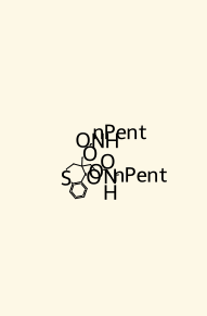 CCCCCNC(=O)OCC1(COC(=O)NCCCCC)CCSc2ccccc2C1=O